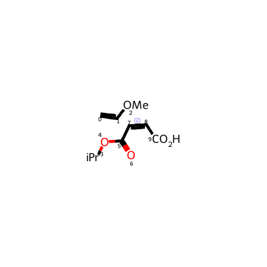 C=COC.CC(C)OC(=O)/C=C\C(=O)O